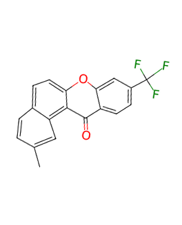 Cc1ccc2ccc3oc4cc(C(F)(F)F)ccc4c(=O)c3c2c1